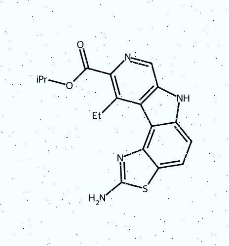 CCc1c(C(=O)OC(C)C)ncc2[nH]c3ccc4sc(N)nc4c3c12